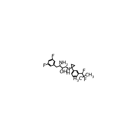 CC(C)(F)C(F)c1cccc(C2(NCC(O)C(N)Cc3cc(F)cc(F)c3)CC2)c1